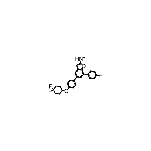 CNc1cc2cc(-c3ccc(OC4CCC(F)(F)CC4)cc3)cc(-c3ccc(F)cc3)c2o1